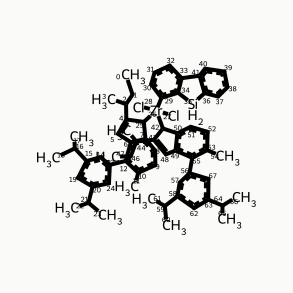 CCC(C)C1=Cc2c(ccc(C)c2-c2cc(C(C)C)cc(C(C)C)c2)[CH]1[Zr]([Cl])([Cl])([c]1cccc2c1[SiH2]c1ccccc1-2)[CH]1C(C(C)CC)=Cc2c1ccc(C)c2-c1cc(C(C)C)cc(C(C)C)c1